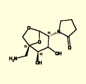 NC[C@@]12COC(O1)[C@H](N1CCCC1=O)C(O)[C@H]2O